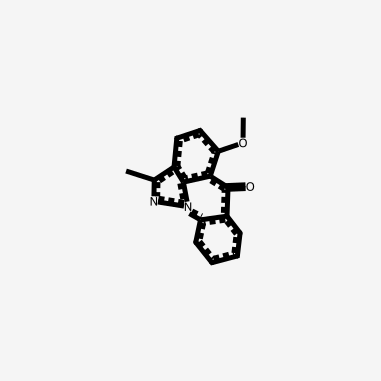 COc1ccc2c(C)nn3c4ccccc4c(=O)c1c23